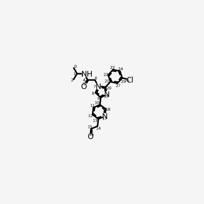 CC(C)NC(=O)Cn1cc(-c2ccc(CC=O)nc2)nc1-c1cccc(Cl)c1